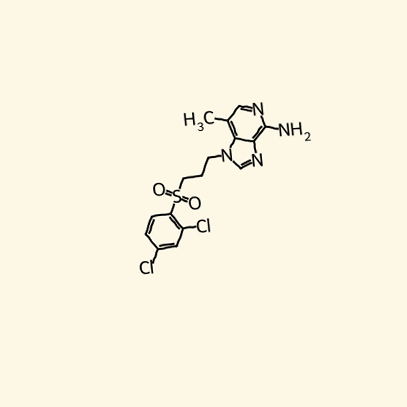 Cc1cnc(N)c2ncn(CCCS(=O)(=O)c3ccc(Cl)cc3Cl)c12